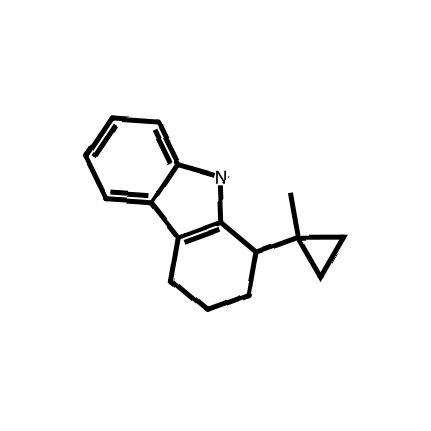 CC1(C2CCCC3=C2[N]c2ccccc23)CC1